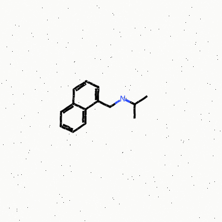 CC(C)[N]Cc1cccc2ccccc12